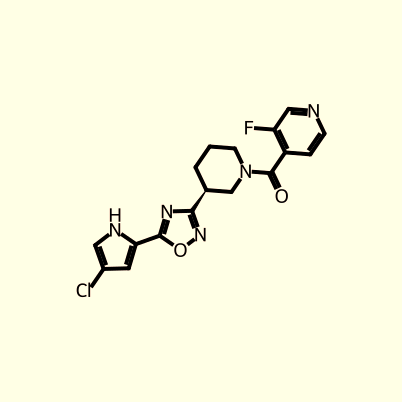 O=C(c1ccncc1F)N1CCC[C@H](c2noc(-c3cc(Cl)c[nH]3)n2)C1